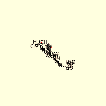 CC1(C)CCC(CN2CCN(c3ccc(C(=O)NS(=O)(=O)c4ccc(NCC5CCN(C6CCN(CCCCc7cccc8c7CN(C7CCC(=O)NC7=O)C8=O)CC6)CC5)c([N+](=O)[O-])c4)c(Oc4cnc5[nH]ccc5c4)c3)CC2)=C(c2ccc(Cl)cc2)C1